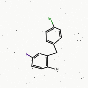 N#Cc1ccc(I)cc1Cc1ccc(Br)cc1